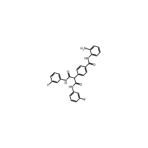 Nc1ccccc1NC(=O)c1ccc(C(C(=O)Nc2cccc(F)c2)C(=O)Nc2cccc(F)c2)cc1